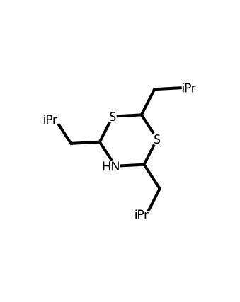 CC(C)CC1NC(CC(C)C)SC(CC(C)C)S1